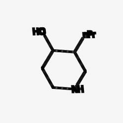 CCCC1CNCCC1O